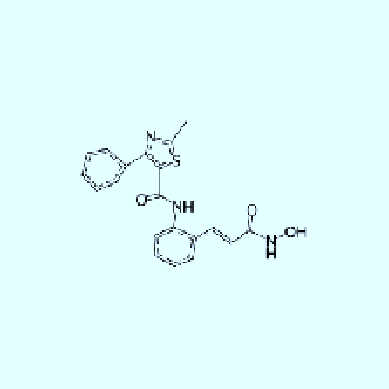 Cc1nc(-c2ccccc2)c(C(=O)Nc2ccccc2C=CC(=O)NO)s1